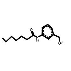 CCCCCCC(=O)Nc1cccc(CO)c1